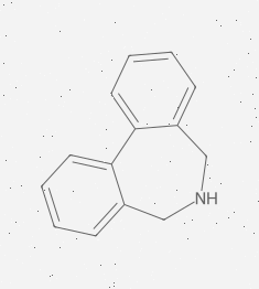 c1ccc2c(c1)CNCc1ccccc1-2